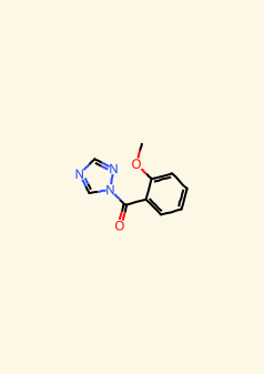 COc1ccccc1C(=O)n1cncn1